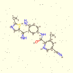 Cc1ncc(C(=N)c2cc(NC(=O)c3ncc(C#N)cc3C)ccc2N)s1